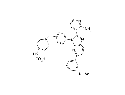 CC(=O)Nc1cccc(-c2ccc3nc(-c4cccnc4N)n(-c4ccc(CN5CCC(NC(=O)O)CC5)cc4)c3n2)c1